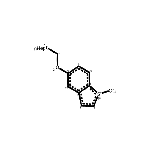 CCCCCCCCOc1ccc2c(cc[s+]2[O-])c1